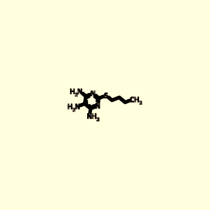 CCCCSc1nc(N)c(N)c(N)n1